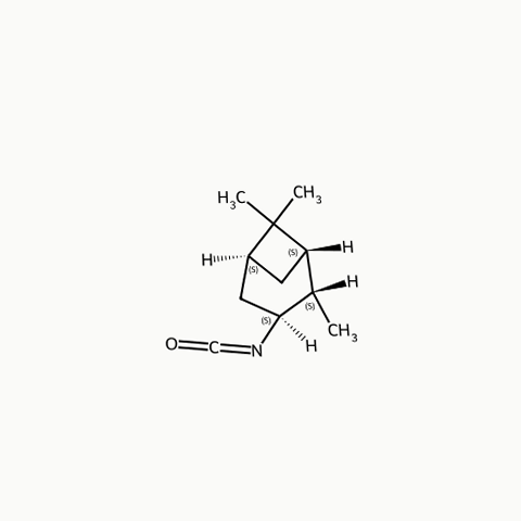 C[C@@H]1[C@@H](N=C=O)C[C@@H]2C[C@@H]1C2(C)C